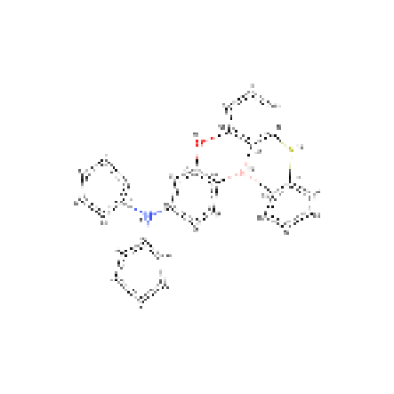 c1ccc(N(c2ccccc2)c2ccc3c(c2)Oc2cccc4c2B3c2ccccc2S4)cc1